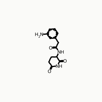 Nc1cccc(CC(=O)NC2CCC(=O)NC2=O)c1